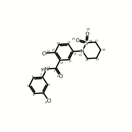 O=C(Nc1cccc(Cl)c1)c1cc(N2CCCCS2(=O)=O)ccc1Cl